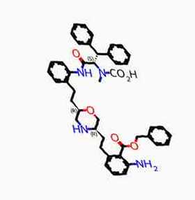 CN(C(=O)O)[C@H](C(=O)Nc1ccccc1CC[C@@H]1CN[C@H](CCc2cccc(N)c2C(=O)OCc2ccccc2)CO1)C(c1ccccc1)c1ccccc1